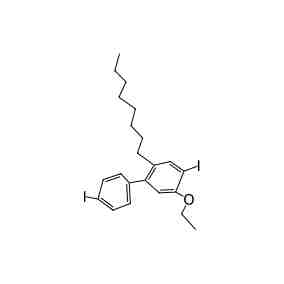 CCCCCCCCc1cc(I)c(OCC)cc1-c1ccc(I)cc1